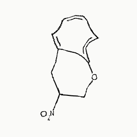 O=[N+]([O-])C1COc2ccccc2C1